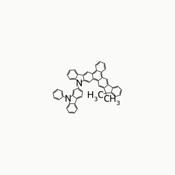 CC1(C)c2ccccc2-c2cc3c4ccccc4c4cc5c6ccccc6n(-c6ccc7c8ccccc8n(-c8ccccc8)c7c6)c5cc4c3cc21